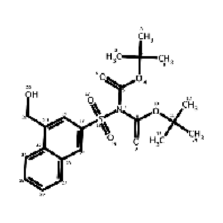 CC(C)(C)OC(=O)N(C(=O)OC(C)(C)C)S(=O)(=O)c1cc(CO)c2ccccc2c1